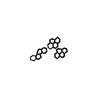 C1=c2ccc3cccc4ccc(c2c43)CC1.c1cc2ccc3cccc4ccc(c1)c2c34.c1ccc2c(c1)ccc1c3c(ccc12)CCCC3